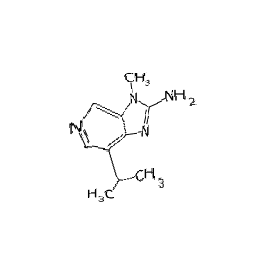 CC(C)c1cncc2c1nc(N)n2C